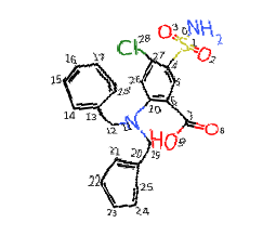 NS(=O)(=O)c1cc(C(=O)O)c(N(Cc2ccccc2)Cc2ccccc2)cc1Cl